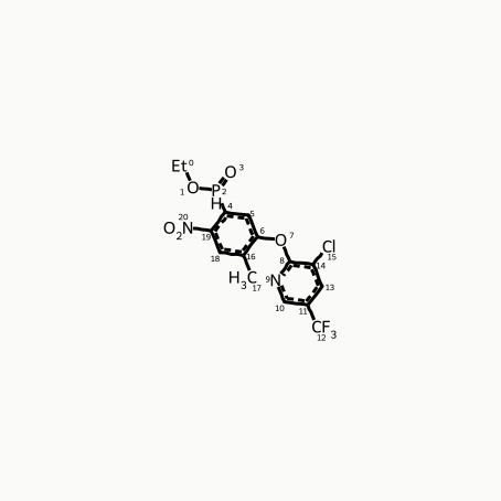 CCO[PH](=O)c1cc(Oc2ncc(C(F)(F)F)cc2Cl)c(C)cc1[N+](=O)[O-]